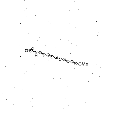 COCCOCCOCCOCCOCCOCCOCCOCCOCCOCCOCCNCCC(=O)OCc1ccccc1